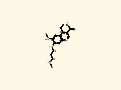 C=C(O)c1cnc2cc(OCCCOC)c(OC)cc2c1CC